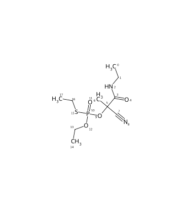 CCNC(=O)C(C)(C#N)OP(=O)(OCC)SCC